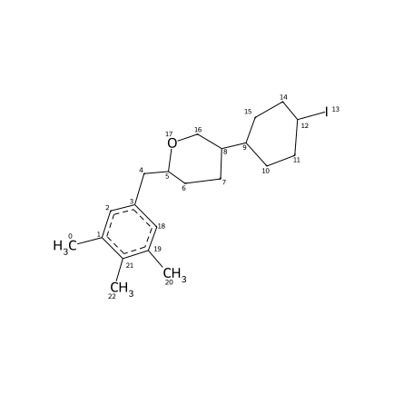 Cc1cc(CC2CCC(C3CCC(I)CC3)CO2)cc(C)c1C